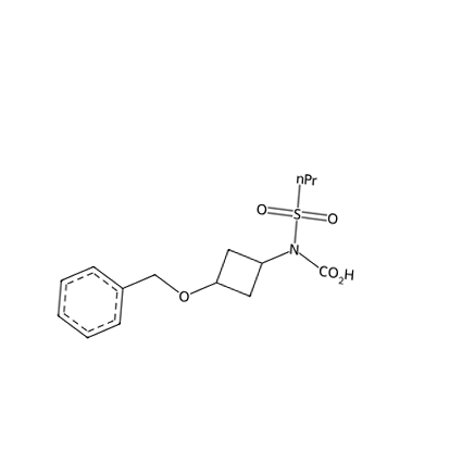 CCCS(=O)(=O)N(C(=O)O)C1CC(OCc2ccccc2)C1